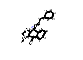 Cn1cnc2c1C(=O)c1ccccc1/C2=N\OCc1ccccc1